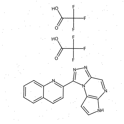 O=C(O)C(F)(F)F.O=C(O)C(F)(F)F.c1ccc2nc(-c3nnc4cnc5[nH]ccc5n34)ccc2c1